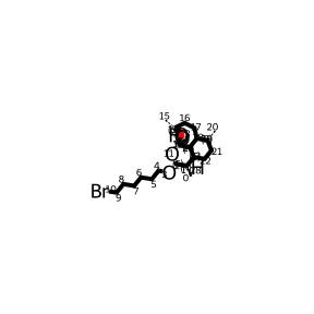 C[C@H]1[C@@H](OCCCCCCBr)O[C@@H]2O[C@]3(C)CCC4[C@H](C)CC[C@@H]1[C@]42OO3